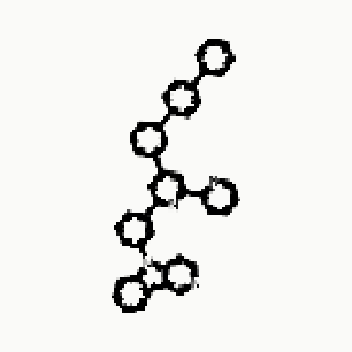 c1ccc(-c2ccc(-c3cccc(-c4cc(-c5cccc(-n6c7ccccc7c7cnccc76)c5)nc(-c5ccccn5)c4)c3)cc2)cc1